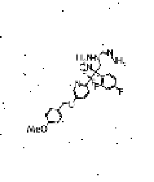 COc1ccc(COc2ccc(C(F)(F)C(CN(N)/C=N\N)(N=O)c3ccc(F)cc3F)nc2)cc1